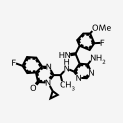 COc1ccc(C(=N)c2c(N)ncnc2NC(C)c2nc3ccc(F)cc3c(=O)n2C2CC2)cc1F